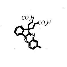 Cc1ccc2nc3c(nc2c1)C(CCC(=O)O)(CCC(=O)O)c1ccccc1-3